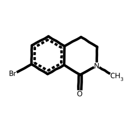 CN1CCc2ccc(Br)cc2C1=O